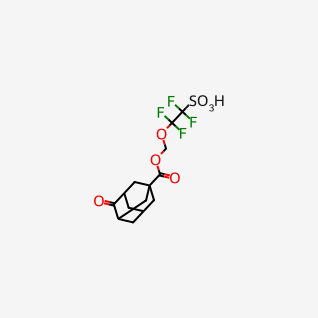 O=C1C2CC3CC1CC(C(=O)OCOC(F)(F)C(F)(F)S(=O)(=O)O)(C3)C2